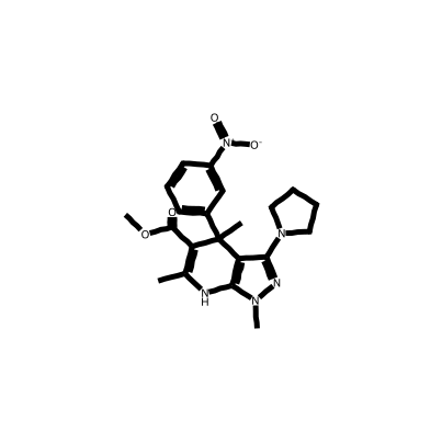 COC(=O)C1=C(C)Nc2c(c(N3CCCC3)nn2C)C1(C)c1cccc([N+](=O)[O-])c1